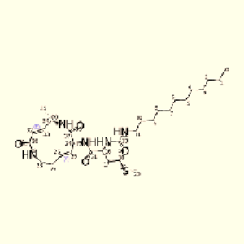 CCCCCCCCCCCCNC(=O)NC(CCSC)C(=O)N[C@H]1/C=C/CCNC(=O)/C=C/[C@H](C)NC1=O